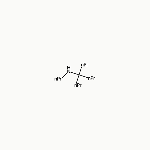 CCCNC(CCC)(CCC)CCC